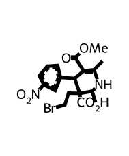 COC(=O)C1=C(C)NC(C)C(CCBr)(C(=O)O)C1c1cccc([N+](=O)[O-])c1